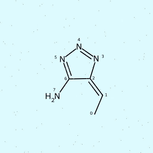 CC=C1N=NN=C1N